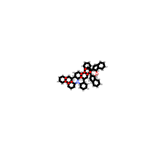 c1ccc(-c2cccc(N(c3ccccc3-c3ccc4c(c3)C3(c5ccccc5-4)c4ccc5ccccc5c4Oc4c3ccc3ccccc43)c3cc(-c4ccccc4)ccc3-c3ccccc3)c2)cc1